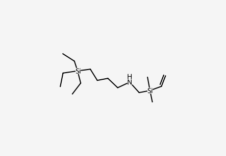 C=C[Si](C)(C)CNCCCC[Si](CC)(CC)CC